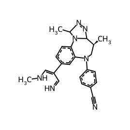 CN/C=C(\C=N)c1ccc2c(c1)N(c1ccc(C#N)cc1)C[C@H](C)C1N=NC(C)N21